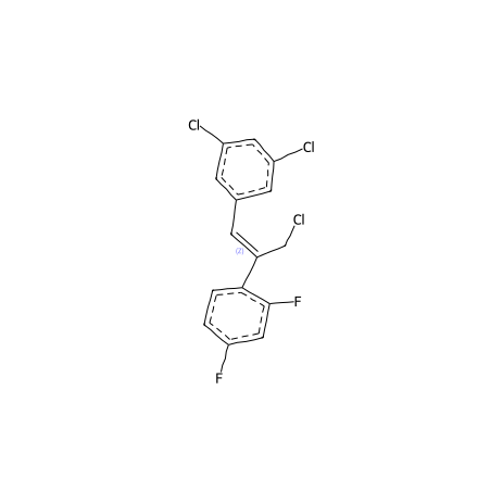 Fc1ccc(/C(=C/c2cc(Cl)cc(Cl)c2)CCl)c(F)c1